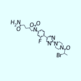 CC(Br)C(=O)N1CCN(c2ncc(-c3ccc(N4CC(CCC(N)=O)OC4=O)cc3F)cn2)CC1